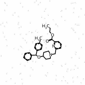 CCCOC(=O)c1cccc(CN2CCC(OC(c3ccccc3)c3ccc(C)cc3)CC2)n1